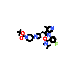 Cc1cncc2c1c(C[C@@H]1CCN(C3CCCN(C(=O)OC(C)(C)C)CC3)C1)cn2-c1ccc(F)cc1C(=O)N(C)C(C)C